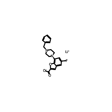 O=C([O-])c1cc2cc(F)cc(N3CCN(Cc4ccccc4)CC3)c2o1.[Li+]